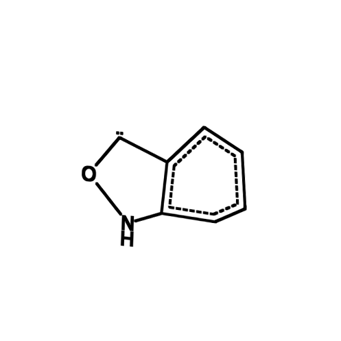 [C]1ONc2ccccc21